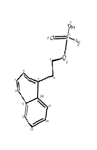 CC(=O)P(=O)(O)OCCc1cccc2ccccc12